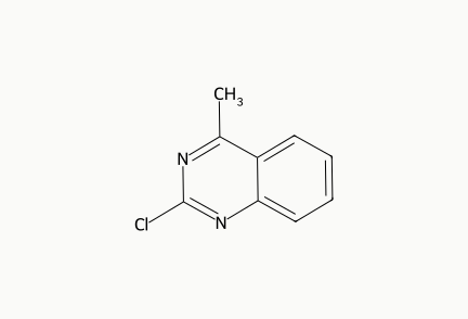 Cc1nc(Cl)nc2ccccc12